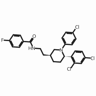 O=C(NCC[C@@H]1CC[C@@H](c2ccc(Cl)cc2Cl)N(c2ccc(Cl)cc2)C1)c1ccc(F)cc1